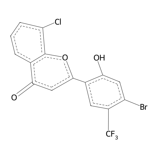 O=c1cc(-c2cc(C(F)(F)F)c(Br)cc2O)oc2c(Cl)cccc12